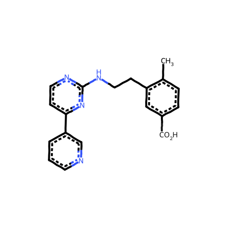 Cc1ccc(C(=O)O)cc1CCNc1nccc(-c2cccnc2)n1